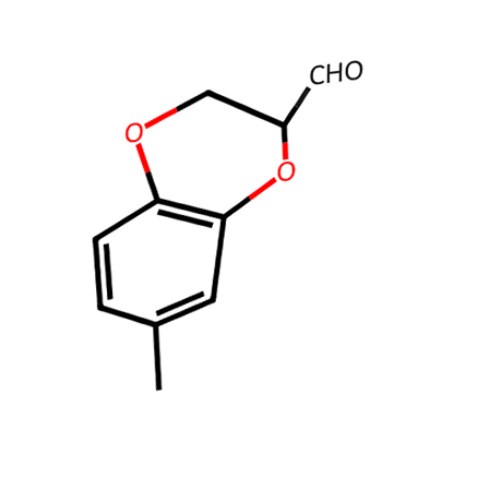 Cc1ccc2c(c1)OC(C=O)CO2